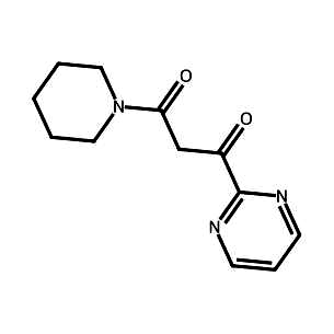 O=C(CC(=O)N1CCCCC1)c1ncccn1